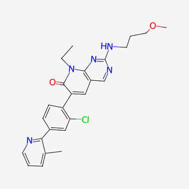 CCn1c(=O)c(-c2ccc(-c3ncccc3C)cc2Cl)cc2cnc(NCCCOC)nc21